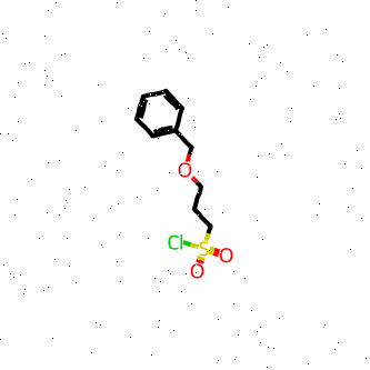 O=S(=O)(Cl)CCCOCc1ccccc1